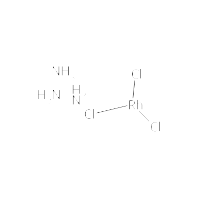 N.N.N.[Cl][Rh]([Cl])[Cl]